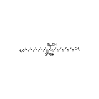 CCCCCCCCCCC(C(=O)O)C(CCCCCCCCCC)C(=O)O